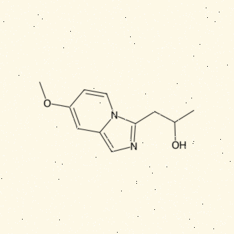 COc1ccn2c(CC(C)O)ncc2c1